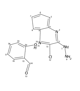 NNc1nc2ccccc2nc1Cl.O=Cc1ccccc1O